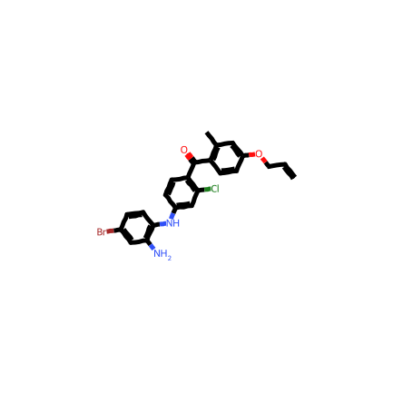 C=CCOc1ccc(C(=O)c2ccc(Nc3ccc(Br)cc3N)cc2Cl)c(C)c1